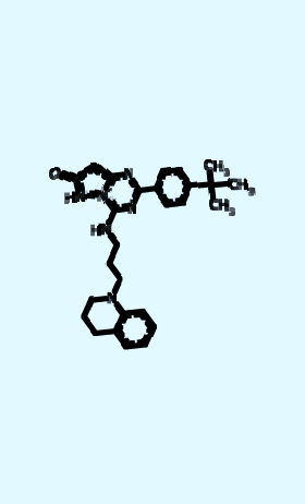 CC(C)(C)c1ccc(-c2nc(NCCCN3CCCc4ccccc43)n3[nH]c(=O)cc3n2)cc1